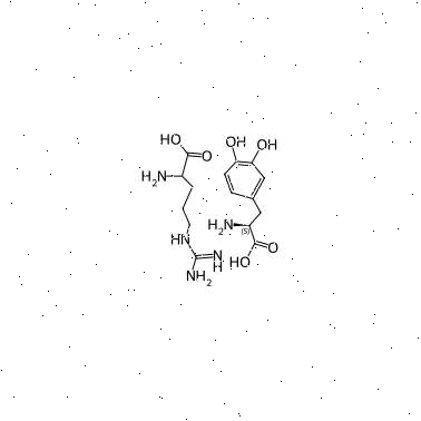 N=C(N)NCCCC(N)C(=O)O.N[C@@H](Cc1ccc(O)c(O)c1)C(=O)O